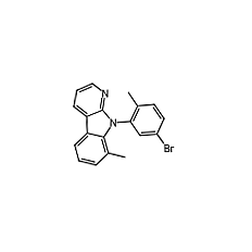 Cc1ccc(Br)cc1-n1c2ncccc2c2cccc(C)c21